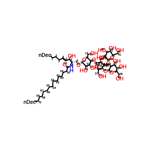 CCCCCCCCCCCCC/C=C/[C@@H](O)[C@H](CO[C@@H]1OC(CO)[C@@H](O[C@@H]2OC(CO)[C@H](O[C@@H]3OC(CO)[C@H](O)[C@H](O)C3NC(C)=O)[C@H](O[C@H]3OC(CO)[C@H](O)[C@H](O)C3O)C2O)[C@H](O)C1O)NC(=O)CCCCCCCCCCCCCCCCCCCCCCC